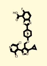 O=C(O)c1c(F)ccc2nc(C34CCC(OCc5c(-c6c(Cl)cncc6Cl)noc5C5CC5)(CC3)CC4)sc12